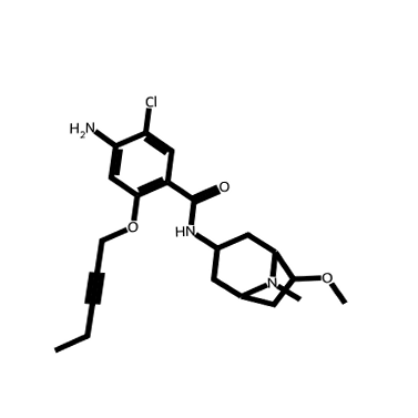 CCC#CCOc1cc(N)c(Cl)cc1C(=O)NC1CC2CC(OC)C(C1)N2C